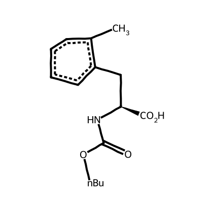 CCCCOC(=O)N[C@@H](Cc1ccccc1C)C(=O)O